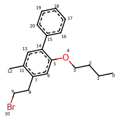 CCCCOc1cc(CCBr)c(C)cc1-c1ccccc1